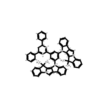 CC1(C)c2ccccc2-n2cc3c4ccccc4n(-c4cc(C5=NC(c6ccccc6)CC(c6ccccc6)=N5)cc(-n5c6ccccc6c6cn7c(c65)C(C)(C)c5ccccc5-7)c4)c3c21